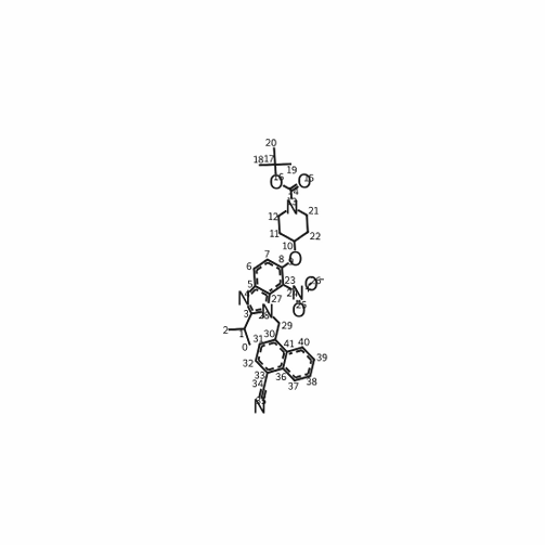 CC(C)c1nc2ccc(OC3CCN(C(=O)OC(C)(C)C)CC3)c([N+](=O)[O-])c2n1Cc1ccc(C#N)c2ccccc12